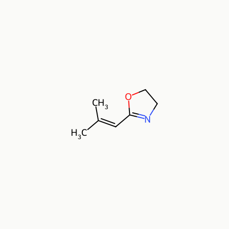 CC(C)=CC1=NCCO1